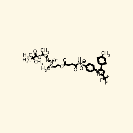 Cc1ccc(-c2cc(C(F)(F)F)nn2-c2ccc(S(=O)(=O)NC(=O)CCC(=O)OCCN(C)[N+]([O-])=NOC(C)OC(=O)C(C)(C)C)cc2)cc1